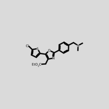 CCOC(=O)Cc1nc(-c2ccc(CN(C)C)cc2)oc1-c1ccc(Cl)s1